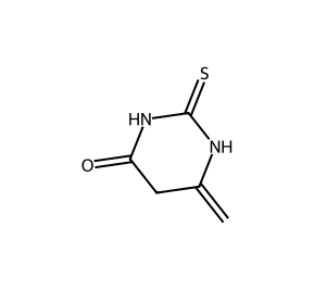 C=C1CC(=O)NC(=S)N1